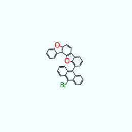 Brc1c2ccccc2c(-c2cccc3c2oc2c3ccc3oc4ccccc4c32)c2ccccc12